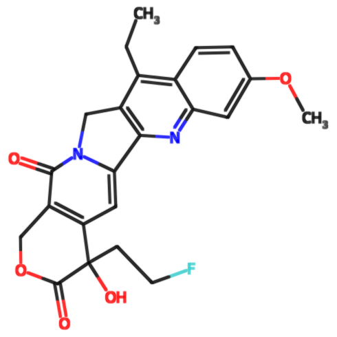 CCc1c2c(nc3cc(OC)ccc13)-c1cc3c(c(=O)n1C2)COC(=O)C3(O)CCF